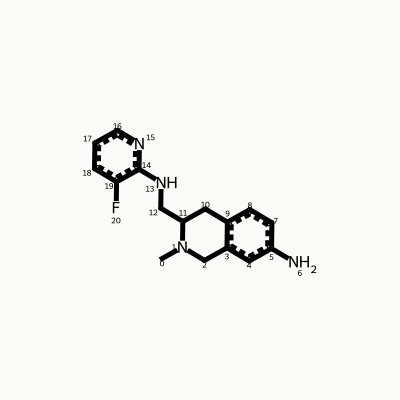 CN1Cc2cc(N)ccc2CC1CNc1ncccc1F